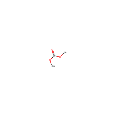 CCC(C)O[B-](=O)OC(C)C